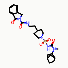 CN(C(=O)NS(=O)(=O)N1CCC(CCNC(=O)N2Cc3ccccc3C2=O)CC1)C1CC2CCC1C2